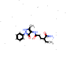 CCC(CCC(=O)Nc1c(C)[nH]n(-c2ccccc2)c1=O)C(N)=O